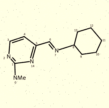 CNc1nccc(C=NC2CCCCC2)n1